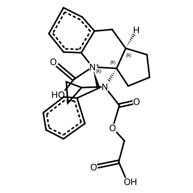 O=C(O)COC(=O)N(C1CC1)[C@@]12CCC[C@@H]1Cc1ccccc1[N@@+]2(Cc1ccccc1)C(=O)O